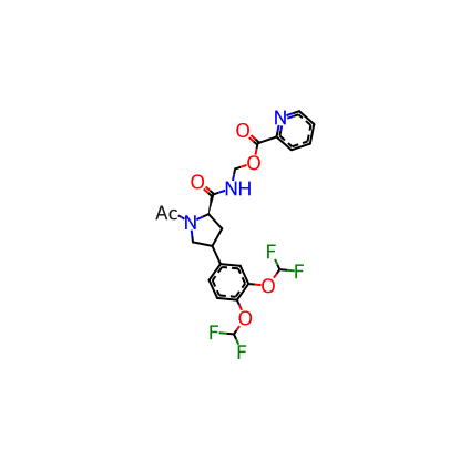 CC(=O)N1CC(c2ccc(OC(F)F)c(OC(F)F)c2)C[C@@H]1C(=O)NCOC(=O)c1ccccn1